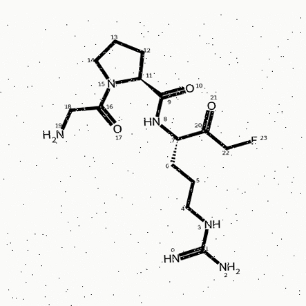 N=C(N)NCCC[C@H](NC(=O)[C@@H]1CCCN1C(=O)CN)C(=O)CF